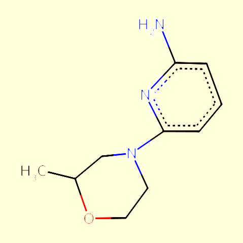 CC1CN(c2cccc(N)n2)CCO1